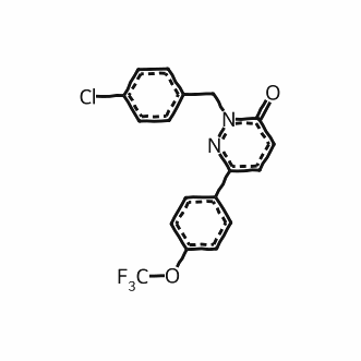 O=c1ccc(-c2ccc(OC(F)(F)F)cc2)nn1Cc1ccc(Cl)cc1